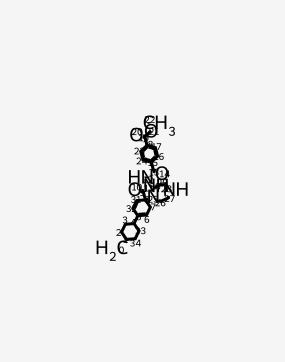 C=C1CCC(C2=CCC(C(=O)NNC(=O)c3ccc(C(=O)OC)cc3)(N3CCNCC3)C=C2)CC1